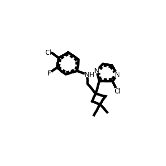 CC1(C)CC(CNc2ccc(Cl)c(F)c2)(c2nccnc2Cl)C1